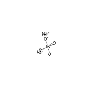 CC[As](=O)([O-])[O-].[Na+].[Na+]